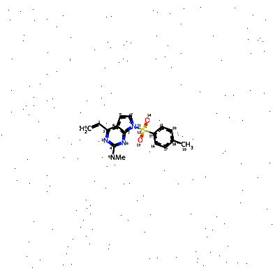 C=Cc1nc(NC)nc2c1ccn2S(=O)(=O)c1ccc(C)cc1